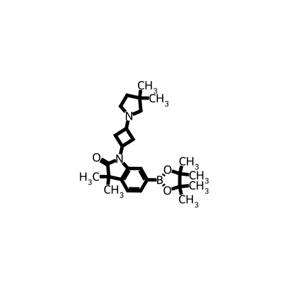 CC1(C)CCN(C2CC(N3C(=O)C(C)(C)c4ccc(B5OC(C)(C)C(C)(C)O5)cc43)C2)C1